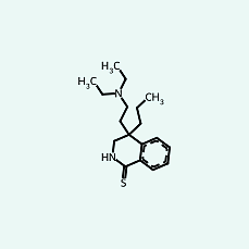 CCCC1(CCN(CC)CC)CNC(=S)c2ccccc21